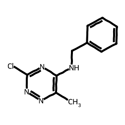 Cc1nnc(Cl)nc1NCc1ccccc1